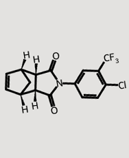 O=C1[C@@H]2[C@H](C(=O)N1c1ccc(Cl)c(C(F)(F)F)c1)[C@@H]1C=C[C@H]2C1